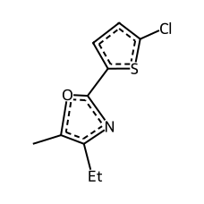 CCc1nc(-c2ccc(Cl)s2)oc1C